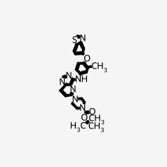 Cc1cc(Nc2ncnc3ccc(N4CCN(C(=O)OC(C)(C)C)CC4)nc23)ccc1Oc1ccc2scnc2c1